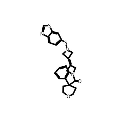 O=C(N1CC(=C2CN(Sc3ccc4ncsc4c3)C2)C1)C1(c2ccccc2)CCOCC1